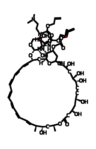 C=CCOC(=O)N[C@@H]1[C@H](O)[C@H](O[C@H]2/C=C/C=C/C=C/C=C/C=C/C=C/C=C/[C@H](C)[C@@H](O)C[C@H](C)OC(=O)C[C@H](O)C[C@H](O)CC[C@@H](O)[C@H](O)C[C@H](O)C[C@]3(O)C[C@H](OC(=O)OCC=C)[C@@H](NC(=O)NN(CCN(C)C)C(=O)OCC=C)[C@H](C2)O3)OC[C@H]1O